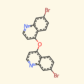 Brc1ccc2c(Oc3ccnc4cc(Br)ccc34)ccnc2c1